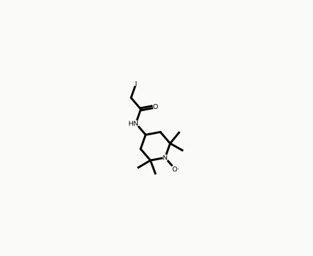 CC1(C)CC(NC(=O)CI)CC(C)(C)N1[O]